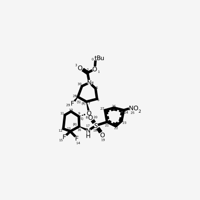 CC(C)(C)OC(=O)N1CC[C@@H](O[C@H]2CCCC(F)(F)[C@@H]2NS(=O)(=O)c2ccc([N+](=O)[O-])cc2)[C@@H](F)C1